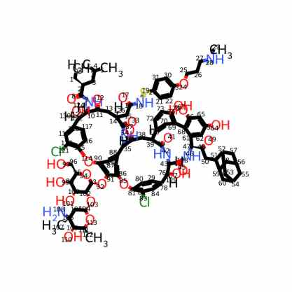 CC[C@@H](CC(C)C)C(=O)N[C@H]1C(=O)C[C@@H](CC(=O)NSc2ccc(OCCCNC)cc2)C(=O)N[C@H]2C(=O)C[C@@H]3C(=O)N[C@@H](C(=O)N[C@H](C(=O)CC4C5CC6CC(C5)CC4C6)c4cc(O)cc(O)c4-c4cc3ccc4O)[C@@H](O)c3ccc(c(Cl)c3)Oc3cc2cc(c3O[C@@H]2O[C@H](CO)[C@H](O)[C@H](O)[C@@H]2O[C@H]2C[C@](C)(N)[C@H](O)[C@H](C)O2)Oc2ccc(cc2Cl)[C@H]1O